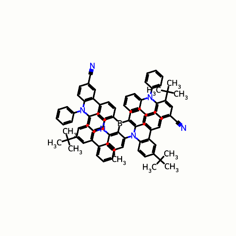 Cc1cc2c3c(c1)N(c1ccc(C(C)(C)C)cc1-c1ccccc1)c1cc(-c4cc(C#N)cc(C(C)(C)C)c4N(c4ccccc4)c4ccccc4)ccc1B3c1ccc(-c3cc(C#N)ccc3N(c3ccccc3)c3ccccc3)cc1N2c1ccc(C(C)(C)C)cc1-c1ccccc1